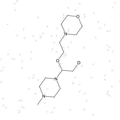 CN1CCN(C(C[O])OCCN2CCOCC2)CC1